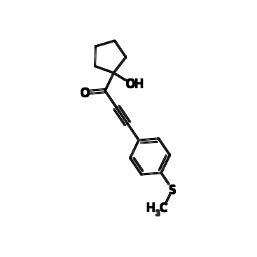 CSc1ccc(C#CC(=O)C2(O)CCCC2)cc1